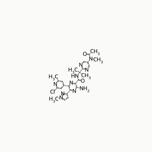 CC(=O)N(C)c1cnc(C(C)(C)NC(=O)c2nc(-c3cc(C)nc(Cl)c3)c(-c3ccn(C)n3)nc2N)nc1